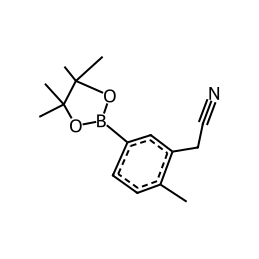 Cc1ccc(B2OC(C)(C)C(C)(C)O2)cc1CC#N